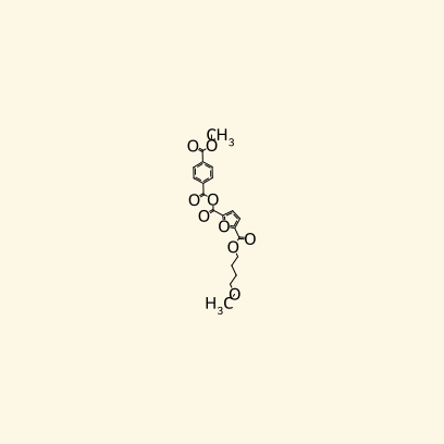 COCCCCOC(=O)c1ccc(C(=O)OC(=O)c2ccc(C(=O)OC)cc2)o1